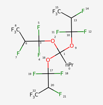 CCCC(OC(F)(F)C(F)C(F)(F)F)(OC(F)(F)C(F)C(F)(F)F)OC(F)(F)C(F)C(F)(F)F